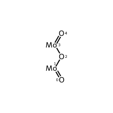 [O]=[Mo][O][Mo]=[O]